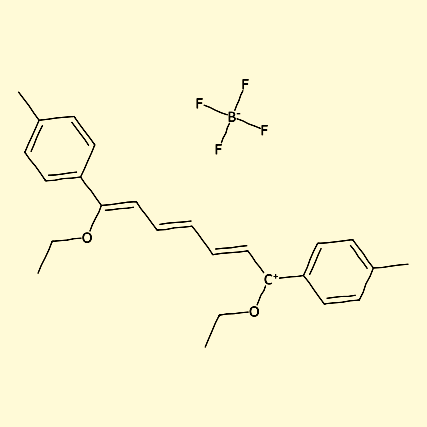 CCOC(=CC=CC=C[C+](OCC)c1ccc(C)cc1)c1ccc(C)cc1.F[B-](F)(F)F